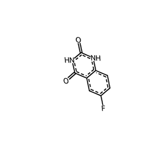 O=c1[nH]c(=O)c2cc(F)ccc2[nH]1